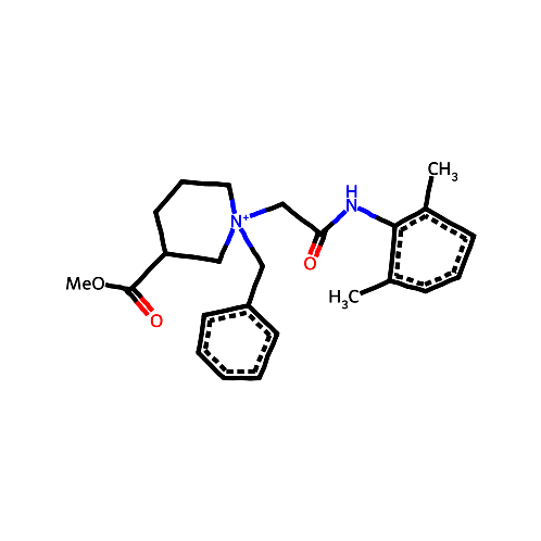 COC(=O)C1CCC[N+](CC(=O)Nc2c(C)cccc2C)(Cc2ccccc2)C1